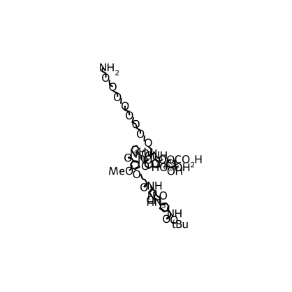 COc1cc2c(cc1OCCCC(=O)Nc1cc(C(=O)Nc3ccc(NC(=O)OC(C)(C)C)cc3)n(C)c1)N(C(=O)OCc1ccc(O[C@@H]3O[C@H](C(=O)O)[C@@H](O)[C@H](O)[C@H]3O)c(NC(=O)CCOCCOCCOCCOCCOCCOCCOCCOCCN)c1)C(O)[C@@H]1CCCCN1C2=O